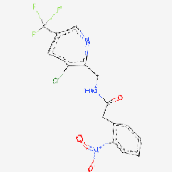 O=C(Cc1ccccc1[N+](=O)[O-])NCc1ncc(C(F)(F)F)cc1Cl